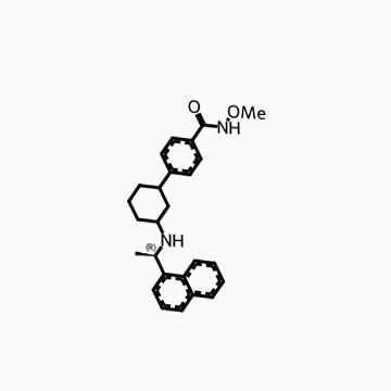 CONC(=O)c1ccc(C2CCCC(N[C@H](C)c3cccc4ccccc34)C2)cc1